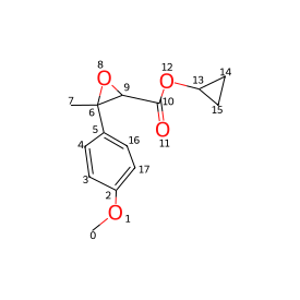 COc1ccc(C2(C)OC2C(=O)OC2CC2)cc1